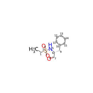 CCS(=O)(=O)N[C@@H](C=O)Cc1ccccc1